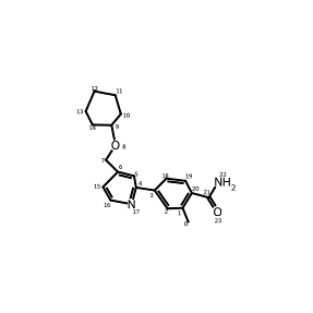 Cc1cc(-c2cc(COC3CCCCC3)ccn2)ccc1C(N)=O